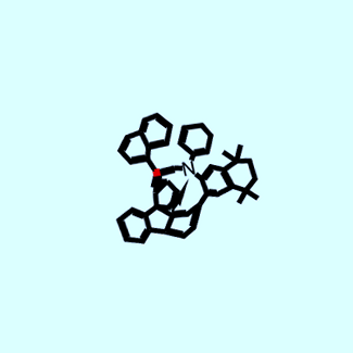 CC1(C)CCC(C)(C)c2cc3c(cc21)-c1ccc2c(c1)C1(c4ccccc4-2)c2ccccc2-c2cc(-c4cccc5ccccc45)c(cc21)N3C1=CCCC=C1